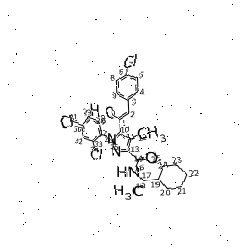 C/C(=C\c1ccc(Cl)cc1)c1c(C)c(C(=O)N[C@@H](C)C2CCCCC2)nn1-c1ccc(Cl)cc1Cl